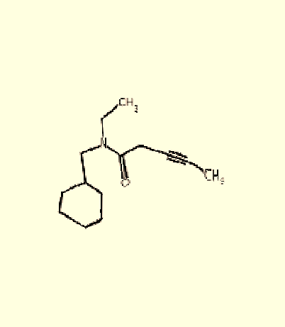 CC#CCC(=O)N(CC)CC1CCCCC1